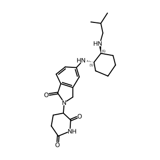 CC(C)CN[C@H]1CCCC[C@@H]1Nc1ccc2c(c1)CN(C1CCC(=O)NC1=O)C2=O